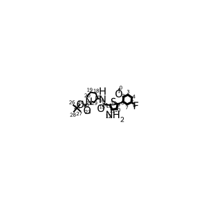 COc1ccc(F)cc1-c1cc(N)c(C(=O)N[C@H]2CCCN(C(=O)OC(C)(C)C)C2)s1